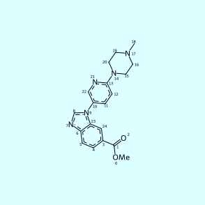 COC(=O)c1ccc2ncn(-c3ccc(N4CCN(C)CC4)nc3)c2c1